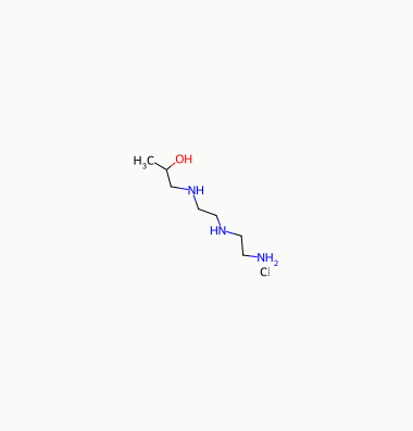 CC(O)CNCCNCCN.[C]